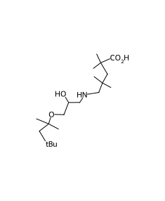 CC(C)(C)CC(C)(C)OCC(O)CNCC(C)(C)CC(C)(C)C(=O)O